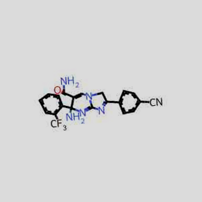 N#Cc1ccc(C2=NC3=NC(N)(c4ccccc4C(F)(F)F)C(C(N)=O)=CN3C2)cc1